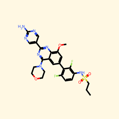 CCCS(=O)(=O)Nc1ccc(F)c(-c2cc(OC)c3nc(-c4cnc(N)nc4)nc(N4CCOCC4)c3c2)c1F